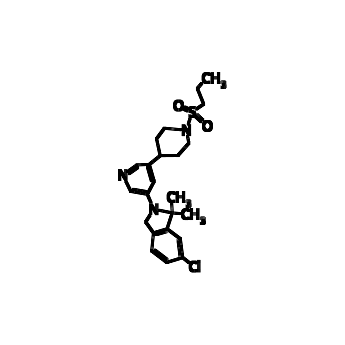 CCCS(=O)(=O)N1CCC(c2cncc(N3Cc4ccc(Cl)cc4C3(C)C)c2)CC1